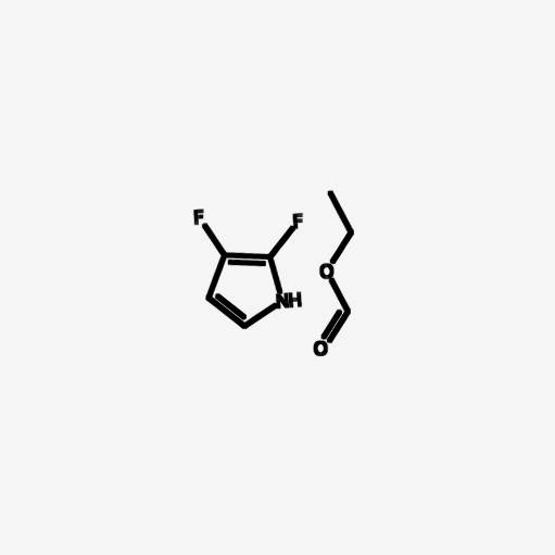 CCOC=O.Fc1cc[nH]c1F